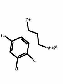 CCCCCCCCCCO.Clc1ccc(Cl)c(Cl)c1